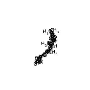 C[C@H]1CN([C@H]2CCCN(c3ccc4c(c3)C(=O)N(C3CCC(=O)NC3=O)C4=O)CC2)CCN1c1ccc(Nc2nc(-c3ccnc(N4CCn5c(cc6c5CC(C)(C)C6)C4=O)c3CO)cn(C)c2=O)cc1